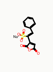 O=C1C=C(C(=Cc2ccccc2)S(=O)(=O)[O-])C(=O)O1.[Na+]